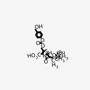 C[C@@H](O[Si](C)(C)C(C)(C)C)[C@H]1C(=O)N2C(C(=O)O)=C(COC(=O)Oc3ccc(CO)cc3)S[C@H]12